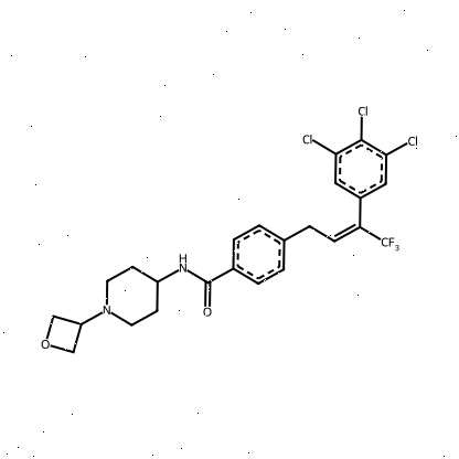 O=C(NC1CCN(C2COC2)CC1)c1ccc(CC=C(c2cc(Cl)c(Cl)c(Cl)c2)C(F)(F)F)cc1